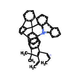 C=CC1=C(/C=C\C)c2ccc(-c3cccc4c3C3(c5ccccc5-4)c4ccccc4-n4c5ccccc5c5cccc3c54)cc2C1(C)C